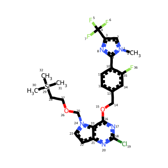 Cn1cc(C(F)(F)F)nc1-c1ccc(COc2nc(Cl)nc3ccn(COCC[Si](C)(C)C)c23)cc1F